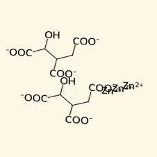 O=C([O-])CC(C(=O)[O-])C(O)C(=O)[O-].O=C([O-])CC(C(=O)[O-])C(O)C(=O)[O-].[Zn+2].[Zn+2].[Zn+2]